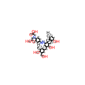 Cc1ccc(O)c(Cc2c(C)c(/N=N/c3ccc(N(CC(=O)O)CC(=O)O)cc3)cc(Cc3cc(C)c(O)c(CO)c3)c2O)c1